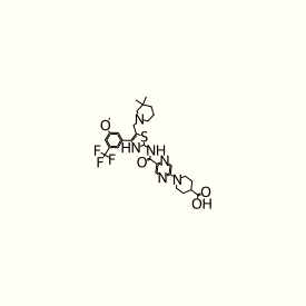 COc1cc(C2=C(CN3CCCC(C)(C)C3)SC(NC(=O)c3cnc(N4CCC(C(=O)O)CC4)cn3)N2)cc(C(F)(F)F)c1